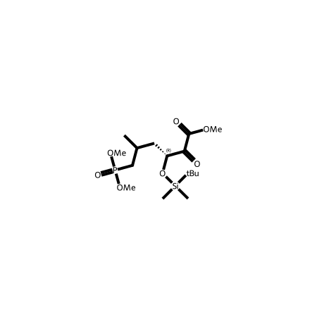 COC(=O)C(=O)[C@@H](CC(C)CP(=O)(OC)OC)O[Si](C)(C)C(C)(C)C